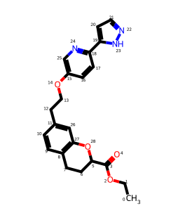 CCOC(=O)C1CCc2ccc(CCOc3ccc(-c4ccn[nH]4)nc3)cc2O1